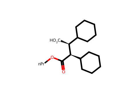 CCCOC(=O)[C@H](C1CCCCC1)[C@@H](C(=O)O)C1CCCCC1